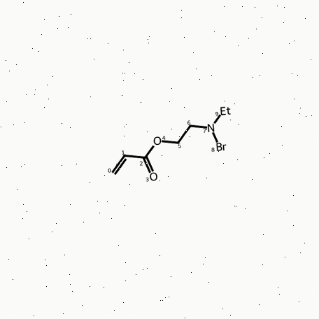 C=CC(=O)OCCN(Br)CC